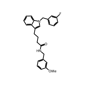 COc1cccc(CNC(=O)CCCc2cn(Cc3cccc(F)c3)c3ccccc23)c1